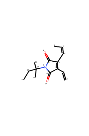 C=CC1=C(/C=C\C)C(=O)N(C(C)(C)CC)C1=O